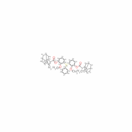 COc1c(OC(=O)CC23CC4CC(CC(C4)C2C)C3)cccc1[S+](c1ccccc1)c1cccc(OC(=O)CC23CC4CC(CC(C4)C2C)C3)c1OC